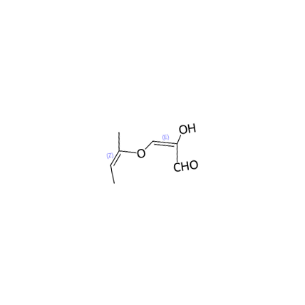 C/C=C(/C)O/C=C(/O)C=O